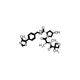 Cc1ncsc1-c1ccc(CNC(=O)[C@@H]2C[C@@H](O)CN2C(=O)[C@H](C)N(C)C(=O)C2(C)COC2)cc1